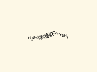 CCCCCCCOc1ccc(-c2ncc(CC[C@H]3CC[C@H](CCC)CC3)cn2)cc1